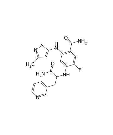 Cc1cc(Nc2cc(NC(Cc3cccnc3)C(N)=O)c(F)cc2C(N)=O)sn1